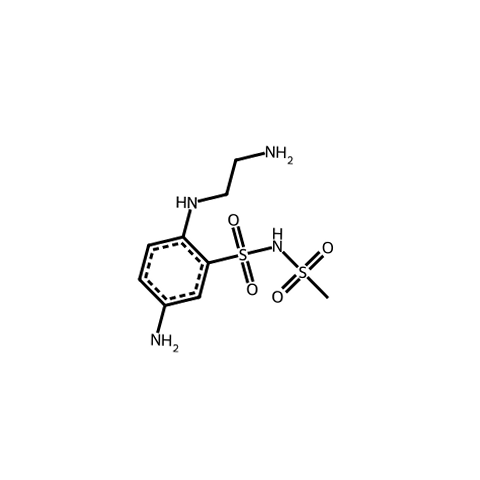 CS(=O)(=O)NS(=O)(=O)c1cc(N)ccc1NCCN